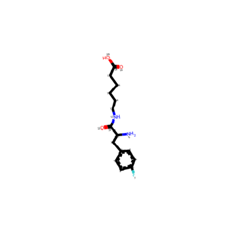 NC(Cc1ccc(F)cc1)C(=O)NCCCCCC(=O)O